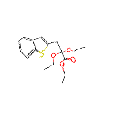 CCOC(=O)C(Cc1cc2ccccc2s1)(OCC)OCC